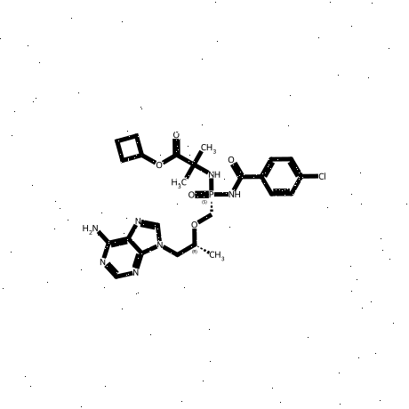 C[C@H](Cn1cnc2c(N)ncnc21)OC[P@@](=O)(NC(=O)c1ccc(Cl)cc1)NC(C)(C)C(=O)OC1CCC1